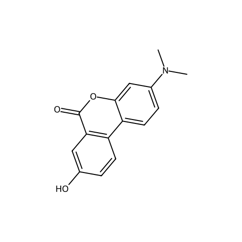 CN(C)c1ccc2c(c1)oc(=O)c1cc(O)ccc12